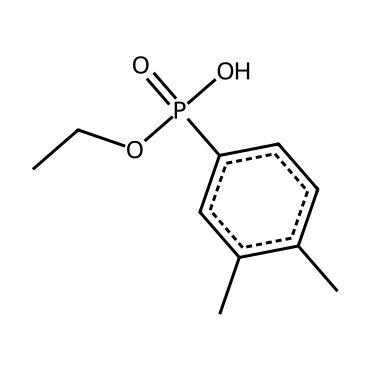 CCOP(=O)(O)c1ccc(C)c(C)c1